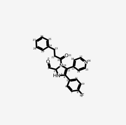 O=CC1NC(c2ccc(F)cc2)=C(c2ccncc2)N1C(=O)CCc1ccccc1